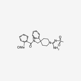 COc1ccccc1C(=O)NCC1(c2ccccc2)CCN(C(N)=NS(C)(=O)=O)CC1